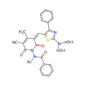 CCCCCCCCN(CCCCCCCC)c1nc(-c2ccccc2)c(/C=C2\C(=O)N(N(C(C)=O)C(=O)c3ccccc3)C(=O)C(C#N)=C2C)s1